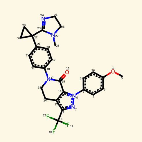 COc1ccc(-n2nc(C(F)(F)F)c3c2C(=O)N(c2ccc(C4(C5=NCCN5C)CC4)cc2)CC3)cc1